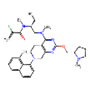 C=C(F)C(=O)N(CC)[C@@H](CC#N)CN(C)c1nc(OC[C@@H]2CCCN2C)nc2c1CCN(c1cccc3cccc(C)c13)C2